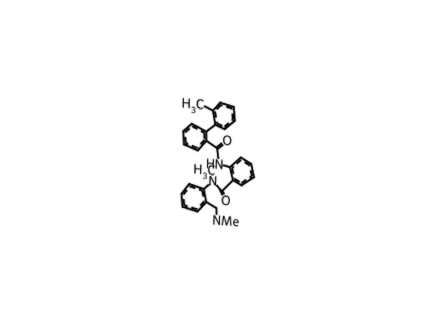 CNCc1ccccc1N(C)C(=O)c1ccccc1NC(=O)c1ccccc1-c1ccccc1C